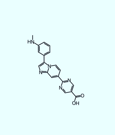 CNc1cccc(-c2cnc3cc(-c4ncc(C(=O)O)cn4)ccn23)c1